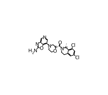 C[C@@H]1c2c(Cl)cc(Cl)cc2CCN1C(=O)[C@H]1CN(c2cncc3nc(N)oc23)CCO1